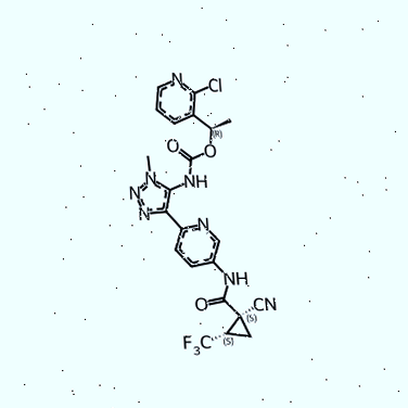 C[C@@H](OC(=O)Nc1c(-c2ccc(NC(=O)[C@@]3(C#N)C[C@@H]3C(F)(F)F)cn2)nnn1C)c1cccnc1Cl